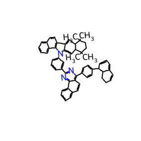 CC1(C)CCC(C)(C)C2C=c3c(c4ccc5ccccc5c4n3-c3cccc(-c4nc(-c5ccc(C6C=CC=C7C=CCCC76)cc5)c5ccc6ccccc6c5n4)c3)=CC21